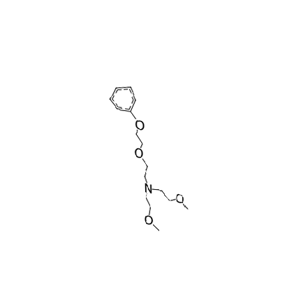 COCCN(CCOC)CCOCCOc1ccccc1